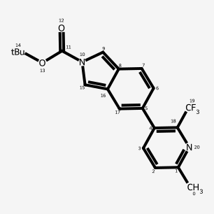 Cc1ccc(-c2ccc3cn(C(=O)OC(C)(C)C)cc3c2)c(C(F)(F)F)n1